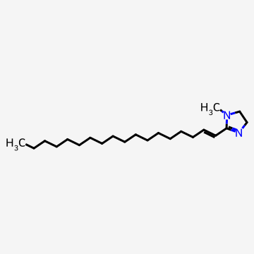 CCCCCCCCCCCCCCCCC=CC1=NCCN1C